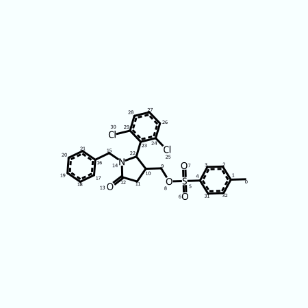 Cc1ccc(S(=O)(=O)OCC2CC(=O)N(Cc3ccccc3)C2c2c(Cl)cccc2Cl)cc1